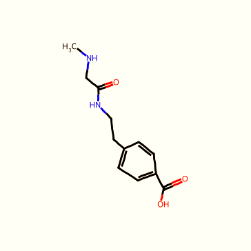 CNCC(=O)NCCc1ccc(C(=O)O)cc1